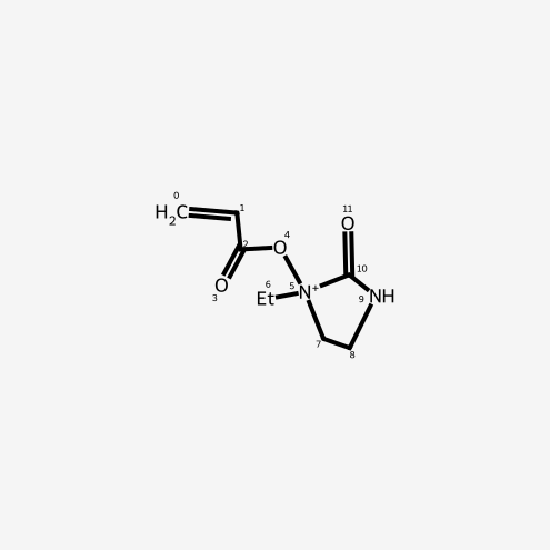 C=CC(=O)O[N+]1(CC)CCNC1=O